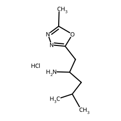 Cc1nnc(CC(N)CC(C)C)o1.Cl